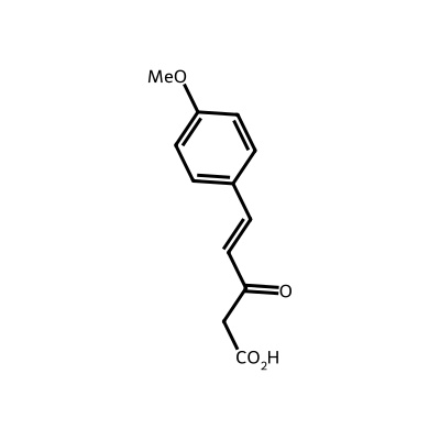 COc1ccc(C=CC(=O)CC(=O)O)cc1